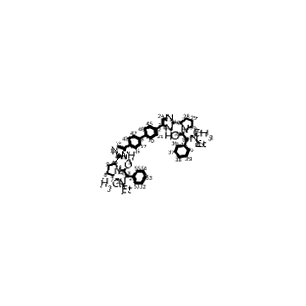 CCN(C)[C@@H](C(=O)N1CCC[C@H]1c1ncc(-c2ccc(-c3ccc(-c4cnc([C@@H]5CCCN5C(=O)[C@@H](c5ccccc5)N(C)CC)[nH]4)cc3)cc2)[nH]1)c1ccccc1